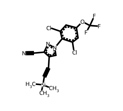 C[Si](C)(C)C#Cc1cn(-c2c(Cl)cc(OC(F)(F)F)cc2Cl)nc1C#N